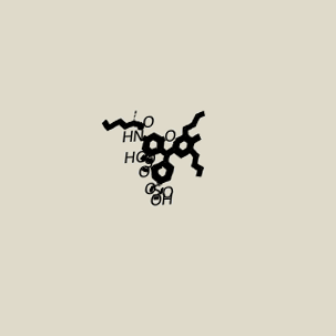 C=c1c(CCCC)cc2c(c1CCCC)Oc1cc(NC(=O)[C@@H](C)CCCC)ccc1C=2c1ccc(S(=O)(=O)O)cc1S(=O)(=O)O